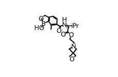 Cc1c(C(=O)N[C@H](C(=O)OCCN2CC3(COC3)C2)C(C)C)ccc2c1B(O)OC2